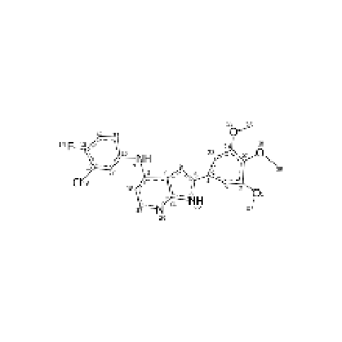 COc1cc(-c2cc3c(Nc4ccc(F)c(Cl)c4)ccnc3[nH]2)cc(OC)c1OC